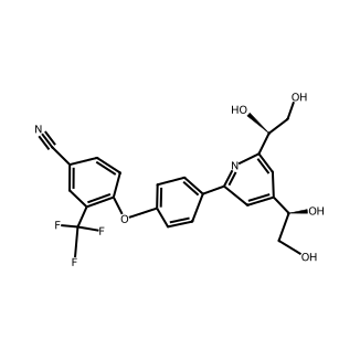 N#Cc1ccc(Oc2ccc(-c3cc([C@@H](O)CO)cc([C@@H](O)CO)n3)cc2)c(C(F)(F)F)c1